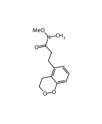 CON(C)C(=O)CCc1cccc2c1CCOO2